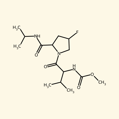 COC(=O)NC(C(=O)N1CC(F)CC1C(=O)NC(C)C)C(C)C